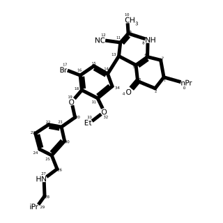 CCCC1CC(=O)C2=C(C1)NC(C)=C(C#N)C2c1cc(Br)c(OCc2cccc(CNCC(C)C)c2)c(OCC)c1